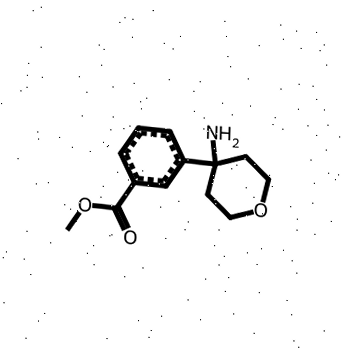 COC(=O)c1cccc(C2(N)CCOCC2)c1